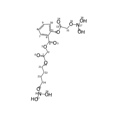 O=C(COC(=O)c1ccccc1OC(=O)CON(O)O)OCCCCON(O)O